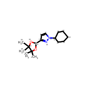 CC1(C)OB(c2ccn(C3CCCCC3)n2)OC1(C)C